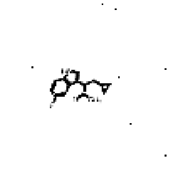 NC(=O)C(CC1CC1)c1c[nH]c2ccc(F)cc12